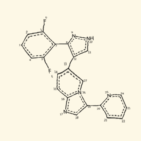 Fc1cccc(F)c1-c1n[nH]cc1-c1ccc2ncc(-c3ccccn3)n2c1